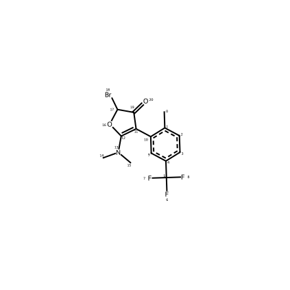 Cc1ccc(C(F)(F)F)cc1C1=C(N(C)C)OC(Br)C1=O